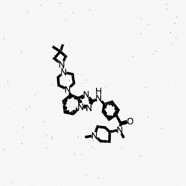 CN1CCC(N(C)C(=O)c2ccc(Nc3nc4c(N5CCN(N6CC(C)(C)C6)CC5)cccn4n3)cc2)CC1